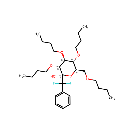 CCCCOC[C@H]1O[C@@](O)(C(F)(F)c2ccccc2)[C@H](OCCCC)[C@@H](OCCCC)[C@@H]1OCCCC